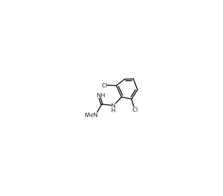 CNC(=N)Nc1c(Cl)cccc1Cl